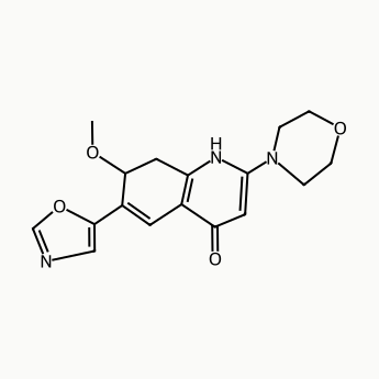 COC1Cc2[nH]c(N3CCOCC3)cc(=O)c2C=C1c1cnco1